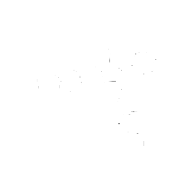 O=C1C(=Cc2ccc3c(c2)OCCO3)SC(=NCc2ccc(F)cc2)N1c1ccccc1